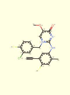 C#Cc1cc(Nc2nc(=O)c(OC)cn2Cc2ccc(F)c(Cl)c2)c(C)cc1F